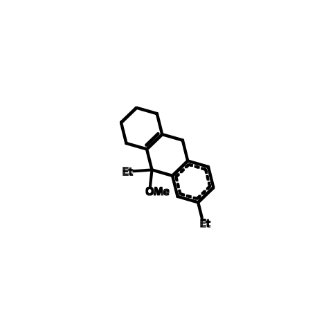 CCc1ccc2c(c1)C(CC)(OC)C1=C(CCCC1)C2